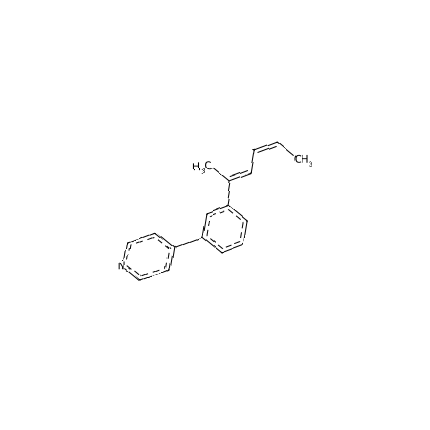 C/C=C\C=C(/C)c1cccc(-c2ccncc2)c1